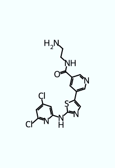 NCCNC(=O)c1cncc(-c2cnc(Nc3cc(Cl)cc(Cl)n3)s2)c1